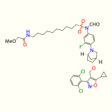 COCC(=O)NCCCCCCCCCCS(=O)(=O)N(C=O)c1ccc(N2C[C@@H]3C[C@H]2C[C@H]3OCc2c(-c3c(Cl)cccc3Cl)noc2C2CC2)c(F)c1